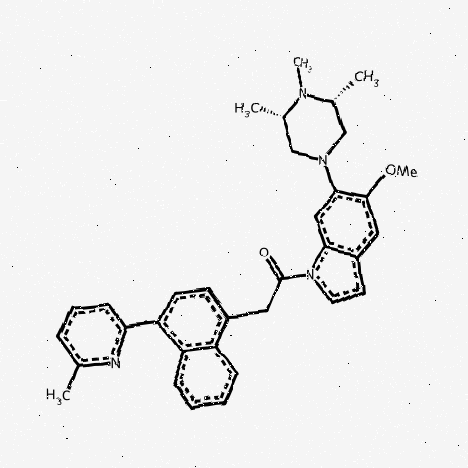 COc1cc2ccn(C(=O)Cc3ccc(-c4cccc(C)n4)c4ccccc34)c2cc1N1C[C@@H](C)N(C)[C@@H](C)C1